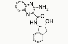 Nc1nc2ccccc2nc1C(=O)N[C@H]1c2ccccc2C[C@H]1O